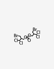 O=S(OCC(CBr)C(Cl)Cl)OCC(CBr)C(Cl)Cl